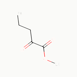 CCOC(=O)C(=O)CCC(C)C